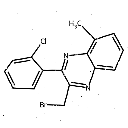 Cc1cccc2nc(CBr)c(-c3ccccc3Cl)nc12